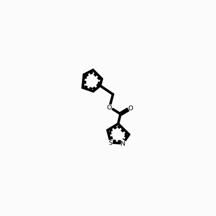 O=C(OCc1ccccc1)c1cnsc1